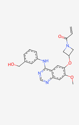 C=CC(=O)N1CC(Oc2cc3c(Nc4cccc(CO)c4)ncnc3cc2OC)C1